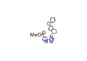 COC(=O)c1ccnc(-c2nccn2CC2CCCc3cc(Oc4ccccc4)ccc32)c1